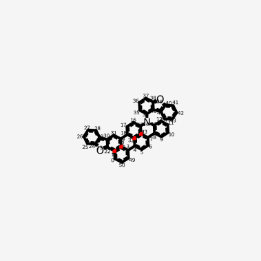 c1ccc(-c2ccc(-c3ccccc3N(c3ccc(-c4ccc5oc6ccccc6c5c4)cc3)c3cccc4oc5ccccc5c34)cc2)cc1